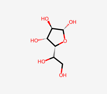 OCC(O)[C@H]1O[C@@H](O)[C@H](O)[C@H]1O